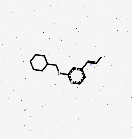 C/C=C/c1ccnc(OCC2CCCCC2)c1